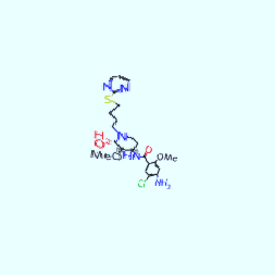 COc1cc(N)c(Cl)cc1C(=O)N[C@@H]1CCN(CCCCSc2ncccn2)C[C@@H]1OC.O